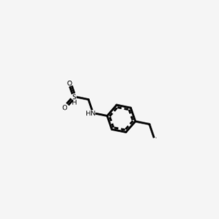 [CH2]Cc1ccc(NC[SH](=O)=O)cc1